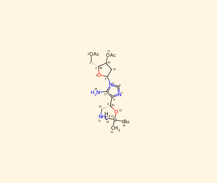 CC(=O)OC[C@H]1OC(n2cnc([C@@H](CN)O[Si](C)(C)C(C)(C)C)c2N)CC1OC(C)=O